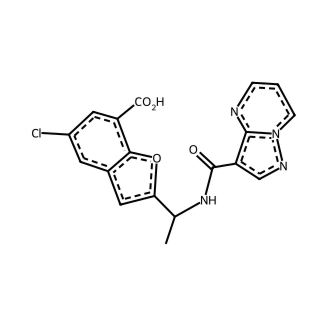 CC(NC(=O)c1cnn2cccnc12)c1cc2cc(Cl)cc(C(=O)O)c2o1